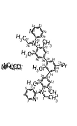 CC=[N+](c1ccccn1)c1c(C)cc(-c2cc(C(C)C)cc(-c3cc(C)c([N+](=CC)c4ccccn4)c(C)c3)c2C)cc1C.[Cl-].[Cl-].[Cl-].[Cl-].[Ni].[Ni]